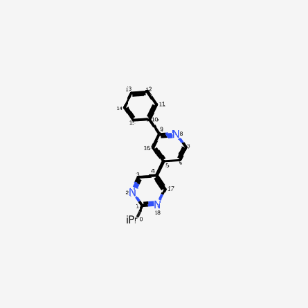 CC(C)c1ncc(-c2ccnc(-c3ccccc3)c2)cn1